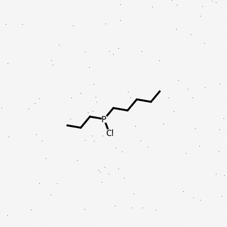 CCCCCP(Cl)CCC